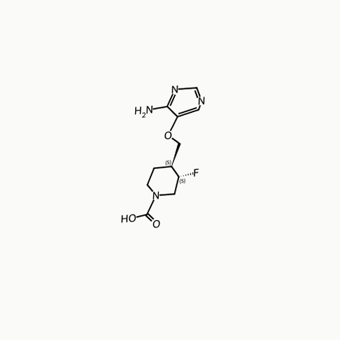 Nc1ncncc1OC[C@@H]1CCN(C(=O)O)C[C@H]1F